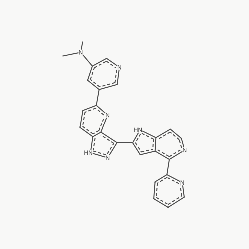 CN(C)c1cncc(-c2ccc3[nH]nc(-c4cc5c(-c6ccccn6)nccc5[nH]4)c3n2)c1